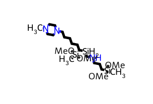 CO[Si](C)(CCCNC[SiH2]C(CCCCCN1CCN(C)CC1)[Si](C)(OC)OC)OC